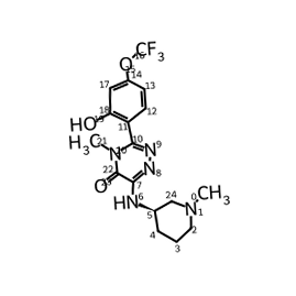 CN1CCC[C@@H](Nc2nnc(-c3ccc(OC(F)(F)F)cc3O)n(C)c2=O)C1